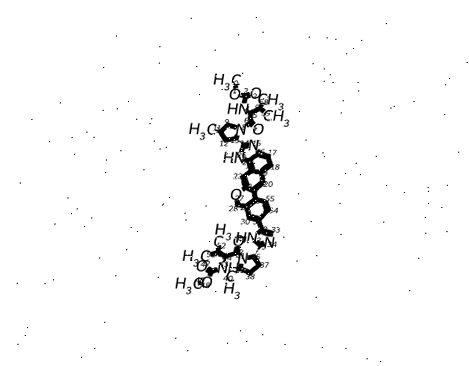 COC(=O)N[C@H](C(=O)N1C[C@@H](C)C[C@H]1c1nc2ccc3cc4c(cc3c2[nH]1)OCc1cc(-c2cnc([C@@H]3CC[C@H](C)N3C(=O)[C@@H](NC(=O)OC)C(C)C)[nH]2)ccc1-4)C(C)C